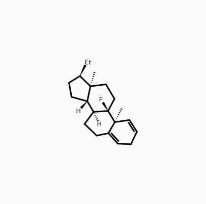 CC[C@@H]1CC[C@H]2[C@@H]3CCC4=CCC=C[C@]4(C)[C@@]3(F)CC[C@]12C